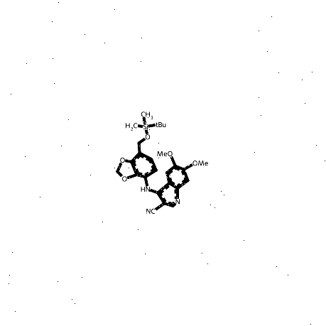 COc1cc2ncc(C#N)c(Nc3ccc(CO[Si](C)(C)C(C)(C)C)c4c3OCO4)c2cc1OC